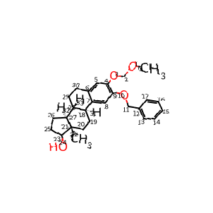 COCOc1cc2c(cc1OCc1ccccc1)[C@H]1CC[C@]3(C)[C@@H](O)CC[C@H]3[C@@H]1CC2